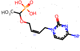 Nc1ccn(C/C=C\COC(C(=O)O)P(=O)(O)O)c(=O)n1